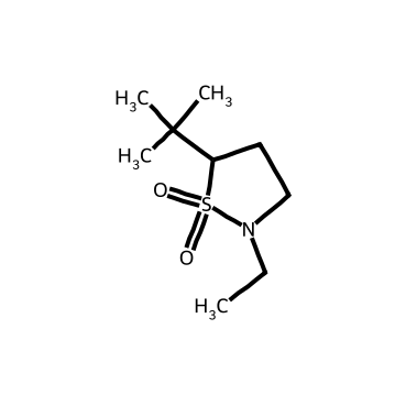 CCN1CCC(C(C)(C)C)S1(=O)=O